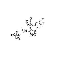 NP(=O)(O)OCCNc1nonc1-c1noc(=O)n1-c1ccc(F)c(Br)c1